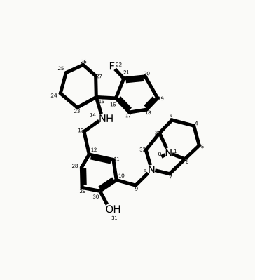 CN1C2CCCC1CN(Cc1cc(CNC3(c4ccccc4F)CCCCC3)ccc1O)C2